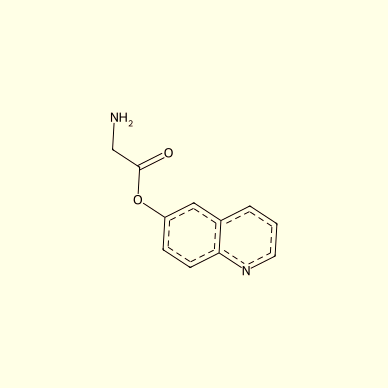 NCC(=O)Oc1ccc2ncccc2c1